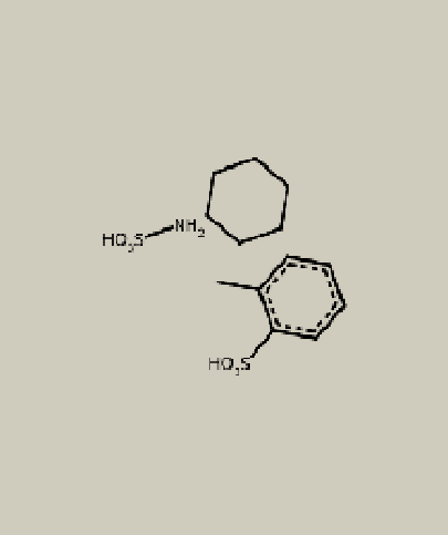 C1CCCCC1.Cc1ccccc1S(=O)(=O)O.NS(=O)(=O)O